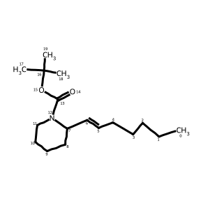 CCCCC/C=C/C1CCCCN1C(=O)OC(C)(C)C